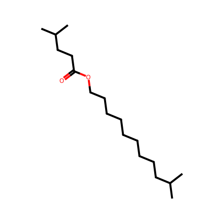 CC(C)CCCCCCCCCOC(=O)CCC(C)C